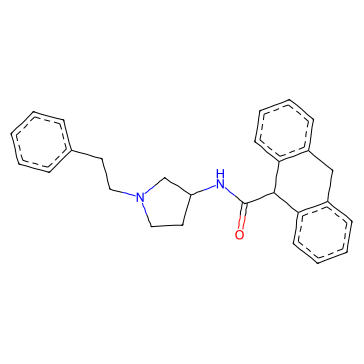 O=C(NC1CCN(CCc2ccccc2)C1)C1c2ccccc2Cc2ccccc21